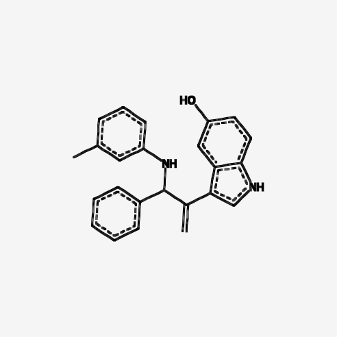 C=C(c1c[nH]c2ccc(O)cc12)C(Nc1cccc(C)c1)c1ccccc1